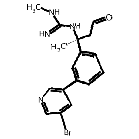 CNC(=N)N[C@@](C)(CC=O)c1cccc(-c2cncc(Br)c2)c1